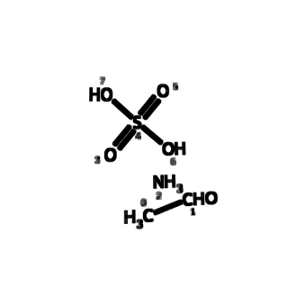 CC=O.N.O=S(=O)(O)O